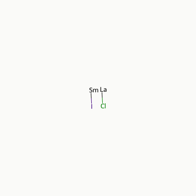 [Cl][La].[I][Sm]